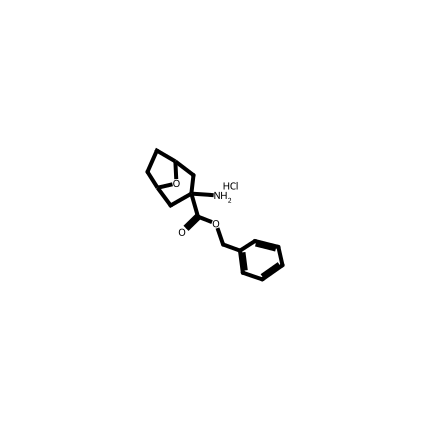 Cl.NC1(C(=O)OCc2ccccc2)CC2CCC(C1)O2